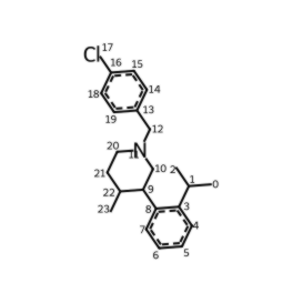 CC(C)c1ccccc1C1CN(Cc2ccc(Cl)cc2)CCC1C